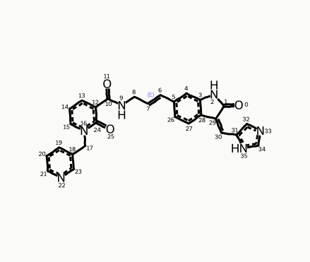 O=C1Nc2cc(/C=C/CNC(=O)c3cccn(Cc4cccnc4)c3=O)ccc2C1=Cc1cnc[nH]1